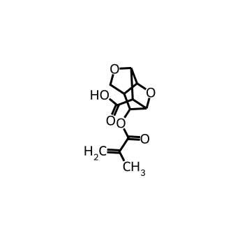 C=C(C)C(=O)OC1C2COC3C2OC1C3C(=O)O